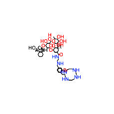 CCC1CC(C(=O)NCCNCc2ccc(CC3CNCCCNCCNCCCN3)c(Br)c2)CC(OC2OC(CO)C(O)C(O[C@@H](CC3CCCCC3)C(=O)O)C2NC(C)=O)C1OC1OC(C)C(O)C(O)C1O